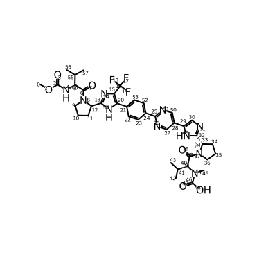 COC(=O)N[C@H](C(=O)N1CCCC1c1nc(C(F)(F)F)c(-c2ccc(-c3ncc(-c4cnc([C@@H]5CCCN5C(=O)[C@H](C(C)C)N(C)C(=O)O)[nH]4)cn3)cc2)[nH]1)C(C)C